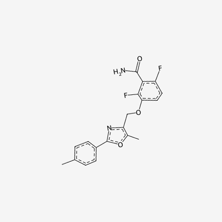 Cc1ccc(-c2nc(COc3ccc(F)c(C(N)=O)c3F)c(C)o2)cc1